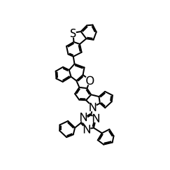 c1ccc(-c2nc(-c3ccccc3)nc(-n3c4ccccc4c4c5oc6cc(-c7ccc8sc9ccccc9c8c7)c7ccccc7c6c5ccc43)n2)cc1